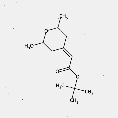 CC1CC(=CC(=O)OC(C)(C)C)CC(C)O1